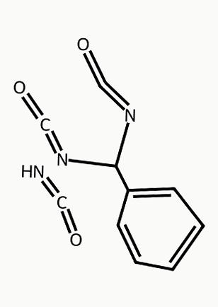 N=C=O.O=C=NC(N=C=O)c1ccccc1